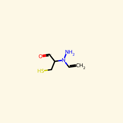 C=CN(N)C([C]=O)CS